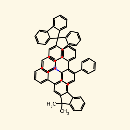 CC1(C)c2ccccc2-c2ccc(-c3ccccc3N(c3ccc4c(c3)-c3ccccc3C43c4ccccc4-c4ccccc43)c3cccc(-c4ccccc4)c3-c3ccccc3-c3ccccc3)cc21